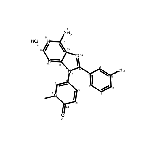 Cl.Cn1cc(-n2c(-c3cccc(Cl)c3)nc3c(N)ncnc32)ccc1=O